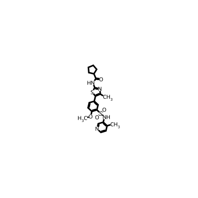 COc1ccc(-c2sc(NC(=O)C3CCCC3)nc2C)cc1S(=O)(=O)Nc1cnccc1C